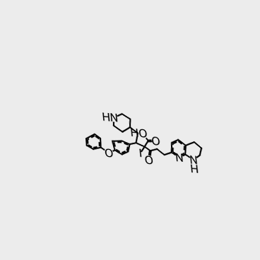 O=C(O)C(I)(C(=O)CCc1ccc2c(n1)NCCC2)C(CC1CCNCC1)c1ccc(Oc2ccccc2)cc1